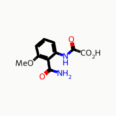 COc1cccc(NC(=O)C(=O)O)c1C(N)=O